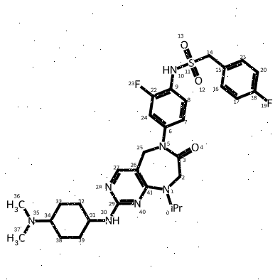 CC(C)N1CC(=O)N(c2ccc(NS(=O)(=O)Cc3ccc(F)cc3)c(F)c2)Cc2cnc(NC3CCC(N(C)C)CC3)nc21